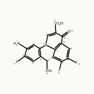 CCOC(=O)c1cn(-c2cc(N)c(F)cc2COC(C)=O)c2cc(F)c(F)cc2c1=O